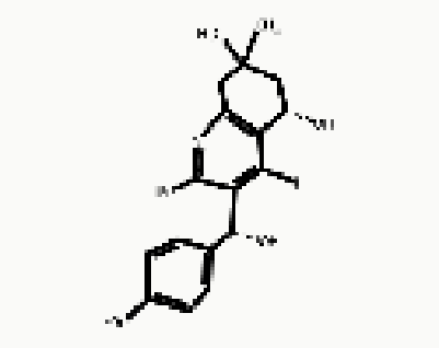 CC(C)c1nc2c(c(I)c1[C@H](O)c1ccc(C(C)(C)C)cc1)[C@@H](O)CC(C)(C)C2